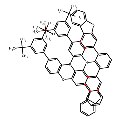 CC(C)(C)c1cc(-c2ccc3c(c2)B2c4cc(-c5cc(C(C)(C)C)cc(C(C)(C)C)c5)ccc4N(c4c(-c5ccc6c(c5)sc5ccccc56)cccc4-c4ccc5c(c4)sc4ccccc45)c4cc(-c5ccccc5)cc(c42)O3)cc(C(C)(C)C)c1